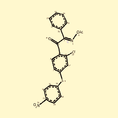 CC(=O)O/N=C(/C(=O)c1ccc(Sc2ccc([N+](=O)[O-])cc2)cc1Cl)c1ccccc1